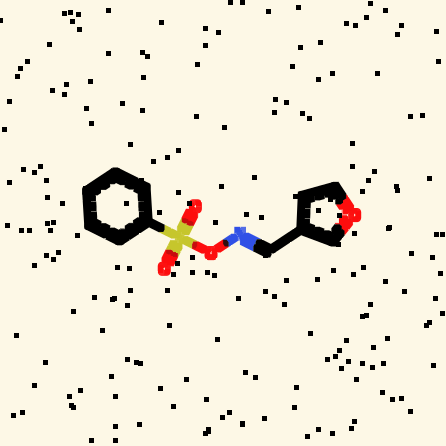 O=S(=O)(ON=Cc1ccoc1)c1ccccc1